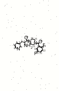 NC(Cc1cccnc1)C(=O)N1CCN(C(=O)c2cc(F)ccc2F)CC1